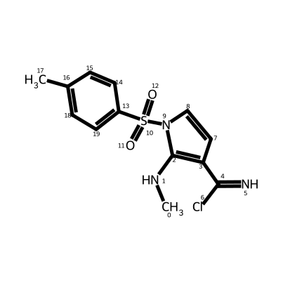 CNc1c(C(=N)Cl)ccn1S(=O)(=O)c1ccc(C)cc1